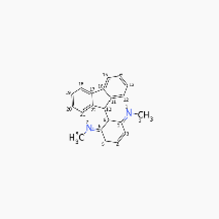 CN=C1C=CCC(=NC)C1C1c2ccccc2-c2ccccc21